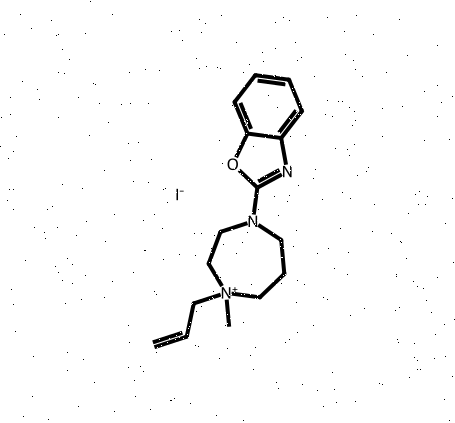 C=CC[N+]1(C)CCCN(c2nc3ccccc3o2)CC1.[I-]